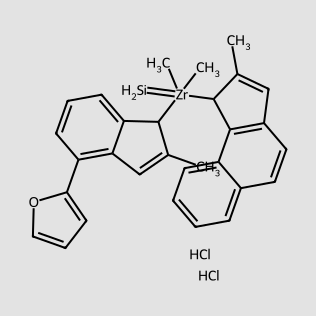 CC1=Cc2c(-c3ccco3)cccc2[CH]1[Zr]([CH3])([CH3])(=[SiH2])[CH]1C(C)=Cc2ccc3ccccc3c21.Cl.Cl